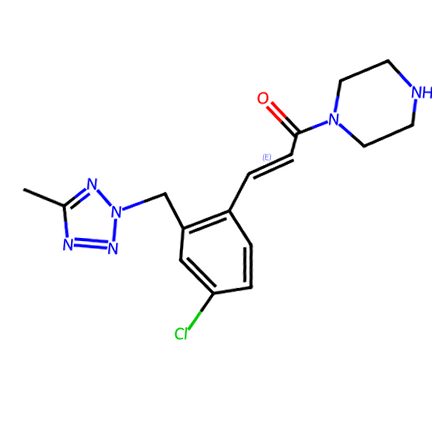 Cc1nnn(Cc2cc(Cl)ccc2/C=C/C(=O)N2CCNCC2)n1